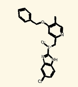 Cc1cnc(C[S+]([O-])c2nc3cc(Cl)ccc3[nH]2)cc1OCc1ccccc1